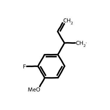 [CH2]C(C=C)c1ccc(OC)c(F)c1